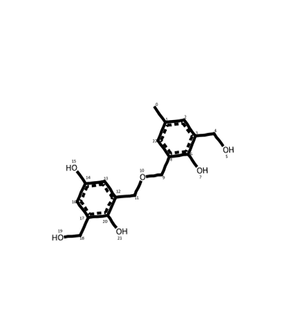 Cc1cc(CO)c(O)c(COCc2cc(O)cc(CO)c2O)c1